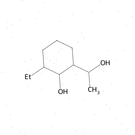 CCC1CCCC(C(C)O)C1O